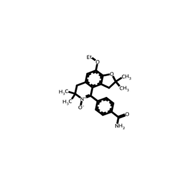 CCOc1cc2c(c3c1OC(C)(C)C3)C(c1ccc(C(N)=O)cc1)=[N+]([O-])C(C)(C)C2